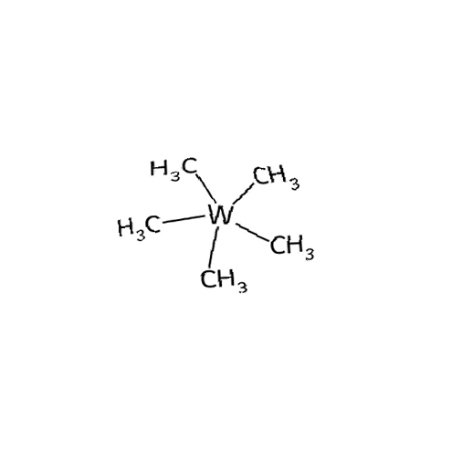 [CH3][W]([CH3])([CH3])([CH3])[CH3]